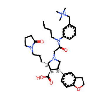 CCCCN(C(=O)CN1C[C@H](c2ccc3c(c2)CCO3)[C@@H](C(=O)O)[C@@H]1CCCN1CCCC1=O)c1cccc(C[N+](C)(C)C)c1